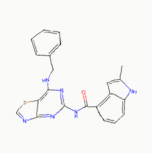 Cc1cc2c(C(=O)Nc3nc(NCc4ccccc4)c4scnc4n3)cccc2[nH]1